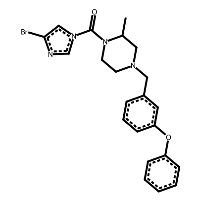 CC1CN(Cc2cccc(Oc3ccccc3)c2)CCN1C(=O)n1cnc(Br)c1